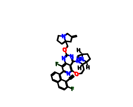 C#Cc1c(F)ccc2cccc(-c3nc4c5c(nc(OCC67CCCN6CC(=C)C7)nc5c3F)N3C[C@H]5CC[C@H](N5)[C@H]3CCO4)c12